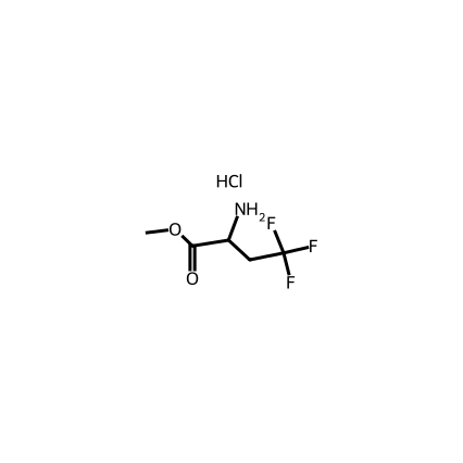 COC(=O)C(N)CC(F)(F)F.Cl